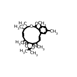 Cc1cc(C)c2c(c1)/C=C/C(C)[C@@H]1OC(C)(C)O[C@@H]1C(C)/C=C\[C@@H](C)[C@H](C)OC2=O